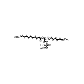 CCCCCCCCCCCCCCCCCCCC(=O)O[C@H](COCCCCCCCCCCCCCCCC)COP(=O)(O)OCCC